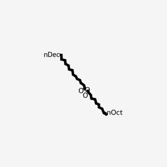 CCCCCCCC/C=C\CCCCCCCC(=O)OC(=O)CCCCCCCCCCCCCCCCCCCCCCC